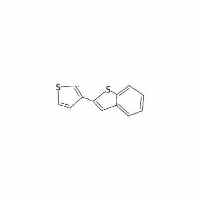 [c]1sccc1-c1cc2ccccc2s1